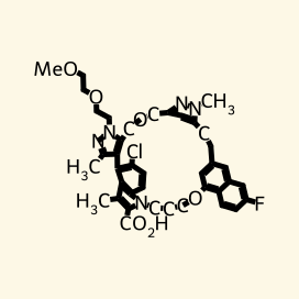 COCCOCCn1nc(C)c2c1COCc1cc(n(C)n1)CCc1cc(c3ccc(F)cc3c1)OCCCn1c(C(=O)O)c(C)c3c-2c(Cl)ccc31